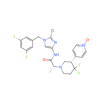 C[C@H](C(=O)Nc1cn(Cc2cc(F)cc(F)c2)c(Cl)n1)N1CCC(F)(F)[C@@H](c2cc[n+]([O-])cc2)C1